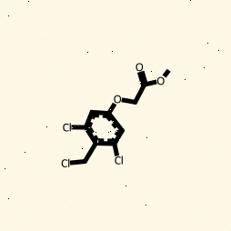 COC(=O)COc1cc(Cl)c(CCl)c(Cl)c1